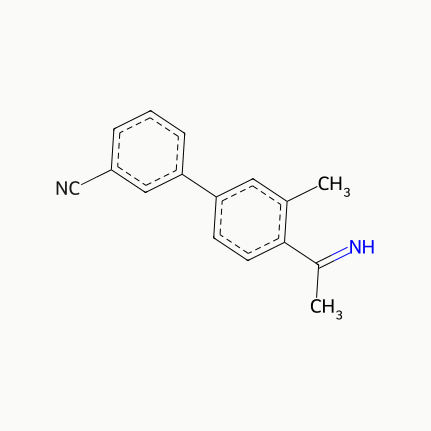 CC(=N)c1ccc(-c2cccc(C#N)c2)cc1C